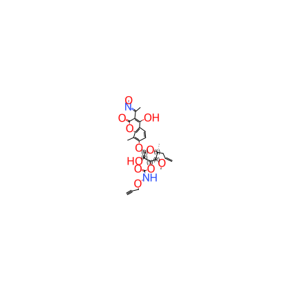 C#CCONC(=O)O[C@H]1[C@@H](O)[C@H](Oc2ccc3c(O)c(C(C)=NOC)c(=O)oc3c2C)O[C@@](C)(CC=C)[C@@H]1OC